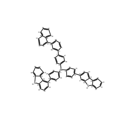 c1cc(-c2ccc(N(c3ccc(-c4ccc5c(c4)sc4ccccc45)cc3)c3ccc(-c4cccc5sc6ccccc6c45)cc3)cc2)cc(-c2cccc3ccccc23)c1